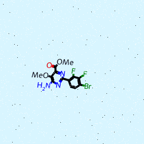 COC(=O)c1nc(-c2ccc(Br)c(F)c2F)nc(N)c1OC